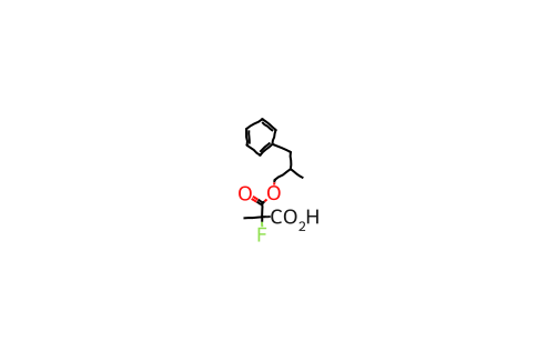 CC(COC(=O)C(C)(F)C(=O)O)Cc1ccccc1